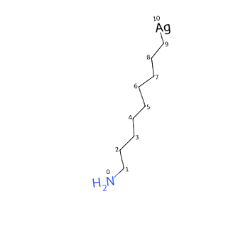 NCCCCCCCC[CH2][Ag]